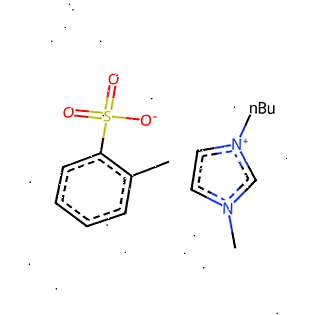 CCCC[n+]1ccn(C)c1.Cc1ccccc1S(=O)(=O)[O-]